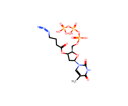 Cc1cn([C@H]2CC(OC(=O)CCCN=[N+]=[N-])[C@@H](COP(=O)(O)OP(=O)(O)OP(=O)(O)O)O2)c(=O)[nH]c1=O